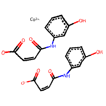 O=C([O-])/C=C\C(=O)Nc1cccc(O)c1.O=C([O-])/C=C\C(=O)Nc1cccc(O)c1.[Co+2]